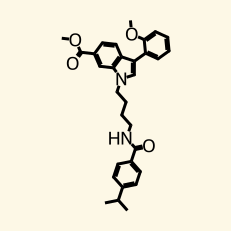 COC(=O)c1ccc2c(-c3ccccc3OC)cn(CCCCNC(=O)c3ccc(C(C)C)cc3)c2c1